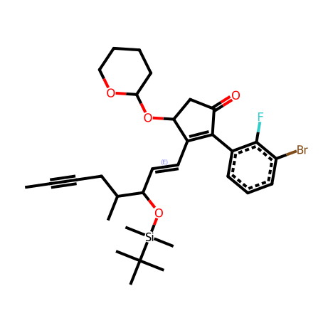 CC#CCC(C)C(/C=C/C1=C(c2cccc(Br)c2F)C(=O)CC1OC1CCCCO1)O[Si](C)(C)C(C)(C)C